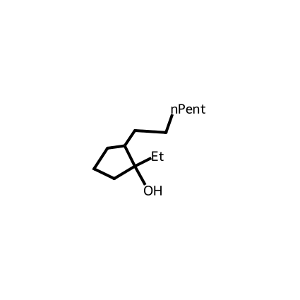 CCCCCCCC1CCCC1(O)CC